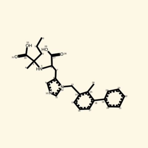 CCCC(C)(NC(Cc1cncn1Cc1cccc(-c2ccccc2)c1C)C(=O)O)C(=O)O